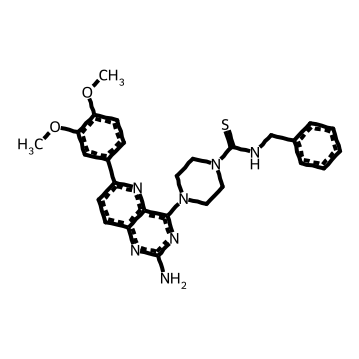 COc1ccc(-c2ccc3nc(N)nc(N4CCN(C(=S)NCc5ccccc5)CC4)c3n2)cc1OC